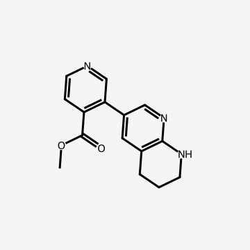 COC(=O)c1ccncc1-c1cnc2c(c1)CCCN2